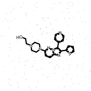 OCCN1CCN(c2ccc3nc(-c4cccs4)c(-c4ccncc4)n3n2)CC1